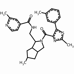 Cc1cccc(-c2sc(C)nc2C(=O)N2CC3CC(C)CC3C2CNC(=O)c2ccnc(C)c2)c1